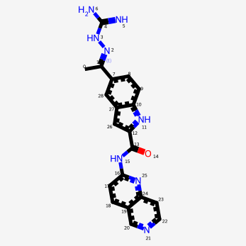 C/C(=N\NC(=N)N)c1ccc2[nH]c(C(=O)Nc3ccc4cnccc4n3)cc2c1